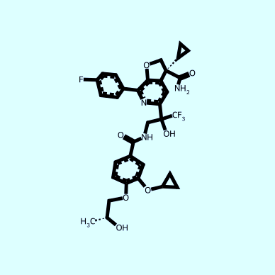 C[C@@H](O)COc1ccc(C(=O)NCC(O)(c2cc3c(c(-c4ccc(F)cc4)n2)OC[C@]3(C(N)=O)C2CC2)C(F)(F)F)cc1OC1CC1